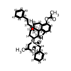 CC(=O)Oc1ccc2c3c1C[C@@H]1[C@@H]4CC[C@@H](N(CC(C)C)S(=O)(=O)Cc5ccccc5)[C@H](O2)[C@]34CCN1CCc1ccccc1